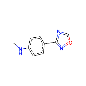 CNc1ccc(-c2ncon2)cc1